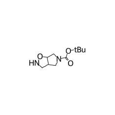 CC(C)(C)OC(=O)N1CC2CNOC2C1